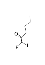 CCCCC(=O)C(F)I